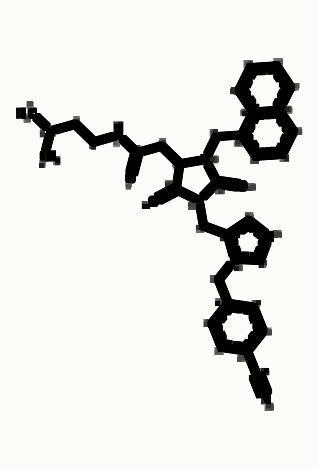 CN(C)CCNC(=O)CC1C(=O)N(Cc2cncn2Cc2ccc(C#N)cc2)C(=O)N1Cc1cccc2ccccc12